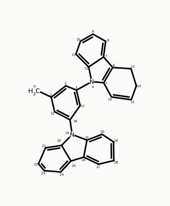 Cc1cc(-n2c3c(c4ccccc42)CCC=C3)cc(-n2c3ccccc3c3ccccc32)c1